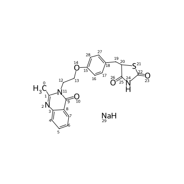 Cc1nc2ccccc2c(=O)n1CCOc1ccc(CC2SC(=O)NC2=O)cc1.[NaH]